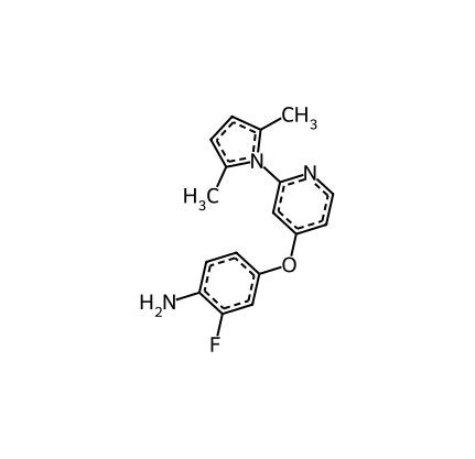 Cc1ccc(C)n1-c1cc(Oc2ccc(N)c(F)c2)ccn1